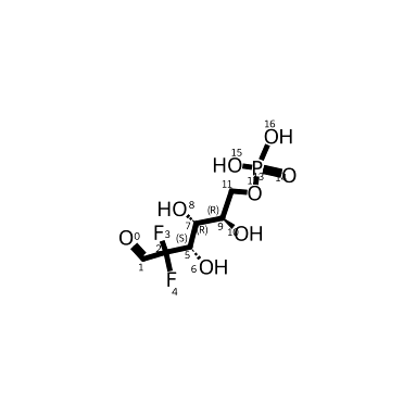 O=CC(F)(F)[C@@H](O)[C@H](O)[C@H](O)COP(=O)(O)O